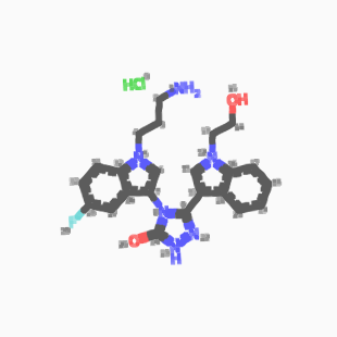 Cl.NCCCn1cc(-n2c(-c3cn(CCO)c4ccccc34)n[nH]c2=O)c2cc(F)ccc21